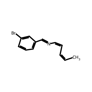 C\C=C/C=C\N=C\c1cccc(Br)c1